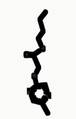 CCCCOC(=O)COc1cnc(C)cn1